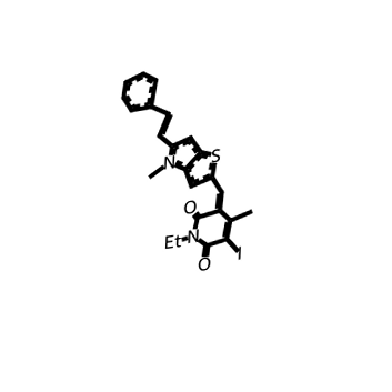 CCN1C(=O)C(I)=C(C)/C(=C/c2cc3c(cc(/C=C/c4ccccc4)n3C)s2)C1=O